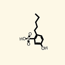 CCCCCc1ccc(O)cc1S(=O)(=O)O